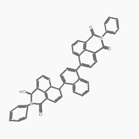 O=C1c2cccc3c(-c4ccc(C5C=CC6=C7C(=CC=CC75)C(O)N(c5ccccc5)C6=O)c5ccccc45)ccc(c23)C(=O)N1c1ccccc1